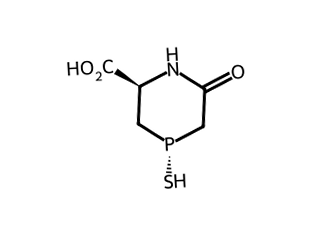 O=C1C[P@](S)C[C@@H](C(=O)O)N1